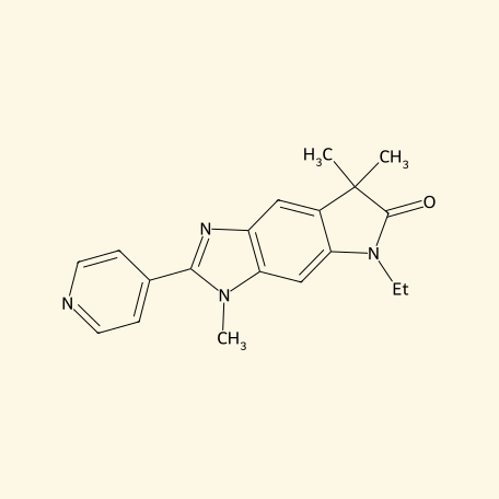 CCN1C(=O)C(C)(C)c2cc3nc(-c4ccncc4)n(C)c3cc21